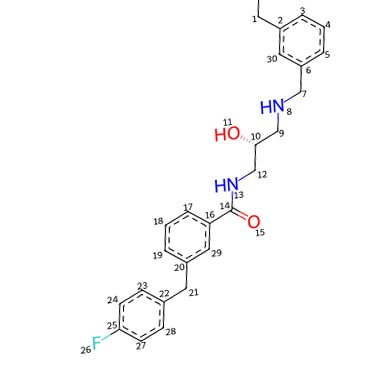 CCc1cccc(CNC[C@@H](O)CNC(=O)c2cccc(Cc3ccc(F)cc3)c2)c1